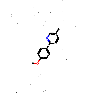 COc1ccc(-c2ccc(C)cn2)cc1